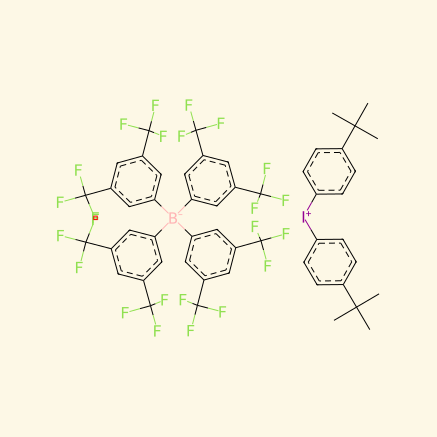 CC(C)(C)c1ccc([I+]c2ccc(C(C)(C)C)cc2)cc1.FC(F)(F)c1cc([B-](c2cc(C(F)(F)F)cc(C(F)(F)F)c2)(c2cc(C(F)(F)F)cc(C(F)(F)F)c2)c2cc(C(F)(F)F)cc(C(F)(F)F)c2)cc(C(F)(F)F)c1